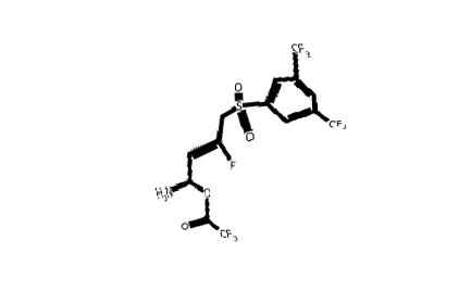 NC(/C=C(\F)CS(=O)(=O)c1cc(C(F)(F)F)cc(C(F)(F)F)c1)OC(=O)C(F)(F)F